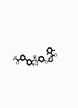 Cc1cccc(C)c1C(=O)N1CC[C@H](Oc2cccc(N[S+]([O-])c3cc(-c4cccc(C(=O)N(C)C)c4)ccc3F)c2)C1